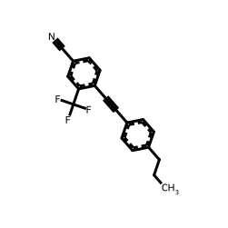 CCCc1ccc(C#Cc2ccc(C#N)cc2C(F)(F)F)cc1